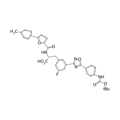 Cc1ccc(-c2ccc(C(=O)N[C@H](Cc3cc(F)cc(-c4noc(-c5ccc(NC(=O)OC(C)(C)C)cc5)n4)c3)C(=O)O)o2)cc1